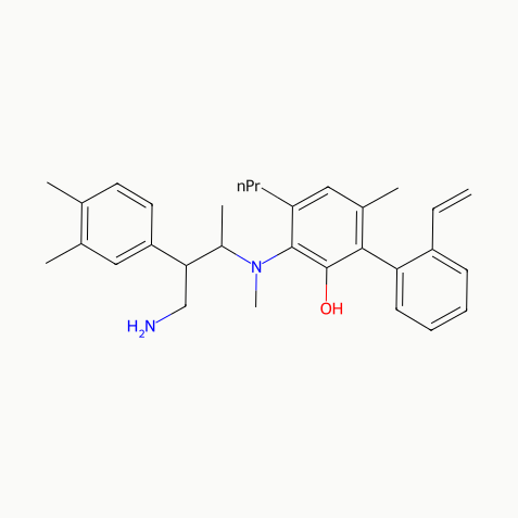 C=Cc1ccccc1-c1c(C)cc(CCC)c(N(C)C(C)C(CN)c2ccc(C)c(C)c2)c1O